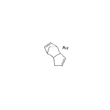 C1=CC2C3C=CC(C3)C2C1.[Au]